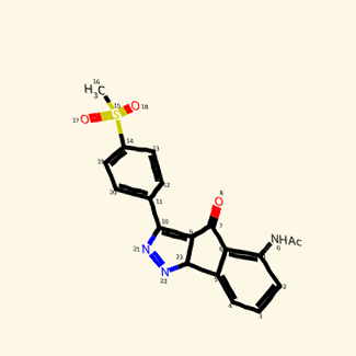 CC(=O)Nc1cccc2c1C(=O)C1=C(c3ccc(S(C)(=O)=O)cc3)N=NC12